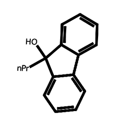 CCCC1(O)c2ccccc2-c2ccccc21